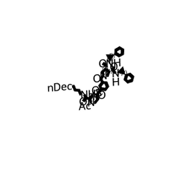 CCCCCCCCCCCCCCNC(=O)C1=CN(S(=O)(=O)c2cccc(C(=O)N3C[C@@H](C(=O)N[C@H]4C[C@@H]4c4ccccc4)[C@H](C(=O)N[C@H]4C[C@@H]4c4ccccc4)C3)c2)CCN1C(C)=O